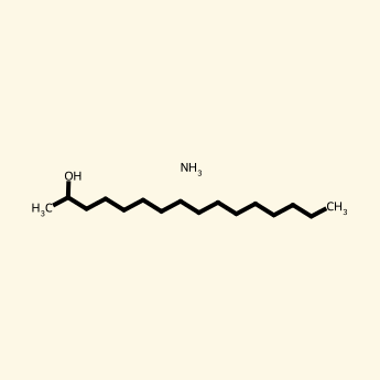 CCCCCCCCCCCCCCC(C)O.N